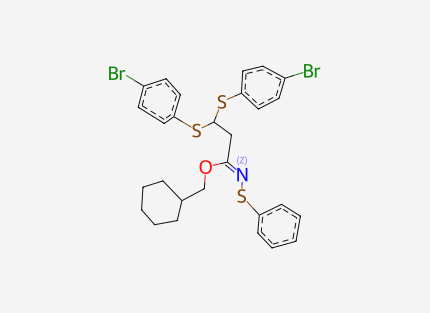 Brc1ccc(SC(C/C(=N/Sc2ccccc2)OCC2CCCCC2)Sc2ccc(Br)cc2)cc1